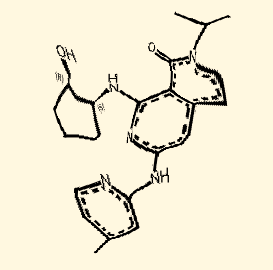 Cc1ccnc(Nc2cc3ccn(C(C)C)c(=O)c3c(N[C@H]3CCC[C@H]3O)n2)c1